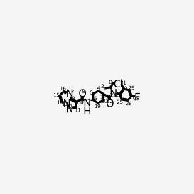 CC1C[C@]2(CC[C@@H](NC(=O)c3cnn4cccnc34)CC2)C(=O)N1c1ccc(F)cc1Cl